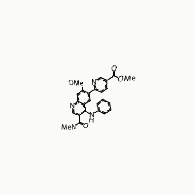 CNC(=O)c1cnc2cc(OC)c(-c3ccc(C(=O)OC)cn3)cc2c1Nc1ccccc1